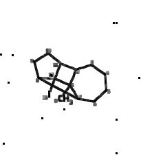 CC12C3CCCCC1C1CCC3C12I